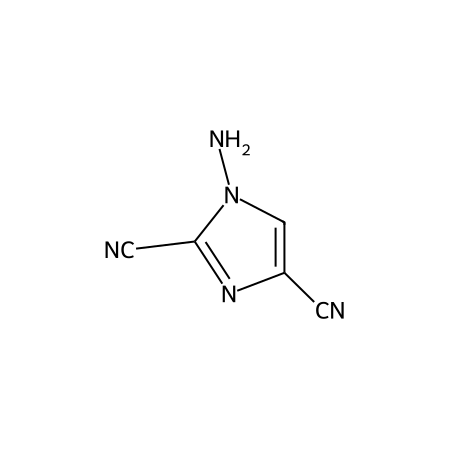 N#Cc1cn(N)c(C#N)n1